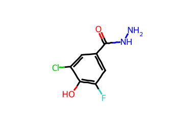 NNC(=O)c1cc(F)c(O)c(Cl)c1